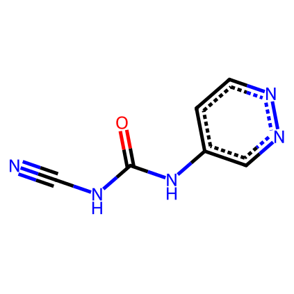 N#CNC(=O)Nc1ccnnc1